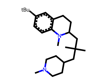 CN1CCC(CC(C)(C)CC2CCc3cc(C(C)(C)C)ccc3N2C)CC1